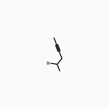 CC#CCC(C)Br